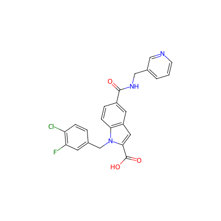 O=C(NCc1cccnc1)c1ccc2c(c1)cc(C(=O)O)n2Cc1ccc(Cl)c(F)c1